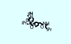 CC(C)CC(C)NC(=O)CC1CCN(C(=O)[C@H](CC(C)C)N2CCN[C@@H](CC(C)C)C2=O)CC1